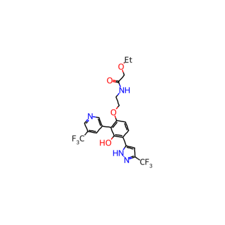 CCOCC(=O)NCCOc1ccc(-c2cc(C(F)(F)F)n[nH]2)c(O)c1-c1cncc(C(F)(F)F)c1